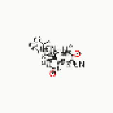 CC1CC(C)(C)CC[C@]1(C#N)CC[C@]1(C)CC(=O)C=C2[C@@]3(C)C=C(C#N)C(=O)[C@@H](C)[C@@H]3CC[C@]21C